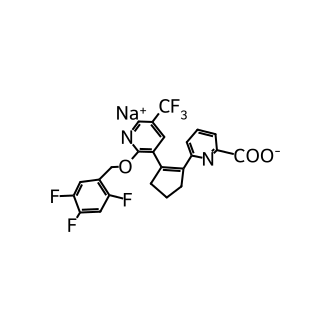 O=C([O-])c1cccc(C2=C(c3cc(C(F)(F)F)cnc3OCc3cc(F)c(F)cc3F)CCC2)n1.[Na+]